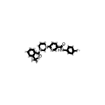 O=C(Nc1ccc(F)cc1)c1ccc(N2C=CCN(C(=O)c3ccccc3C(F)(F)F)C2)nc1